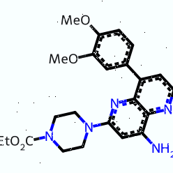 CCOC(=O)N1CCN(c2cc(N)c3nccc(-c4ccc(OC)c(OC)c4)c3n2)CC1